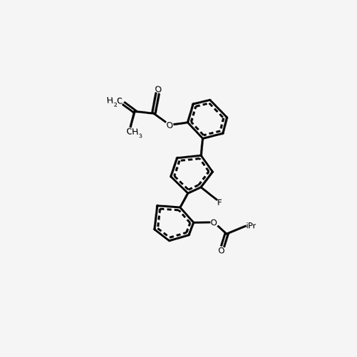 C=C(C)C(=O)Oc1ccccc1-c1ccc(-c2ccccc2OC(=O)C(C)C)c(F)c1